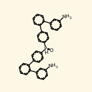 Nc1cccc(-c2ccccc2-c2ccc([PH](=O)c3ccc(-c4ccccc4-c4cccc(N)c4)cc3)cc2)c1